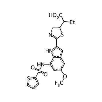 CCC(C(=O)O)C1CN=C(c2cc3cc(OC(F)(F)F)cc(NS(=O)(=O)c4cccs4)c3[nH]2)S1